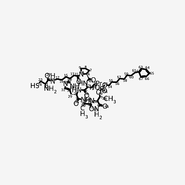 CC(C)C[C@H](NC(=O)[C@@H]1CCCN1C(=O)CCCCCNC(=O)[C@@H](N)CS)C(=O)N[C@@H](Cc1cnc[nH]1)C(=O)N[C@@H](C)C(=O)N[C@H](C(N)=O)[C@@H](C)OP(=O)(O)OCCCCCCCCc1ccccc1